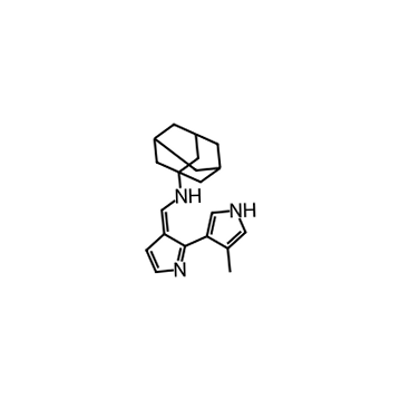 Cc1c[nH]cc1C1=NC=CC1=CNC12CC3CC(CC(C3)C1)C2